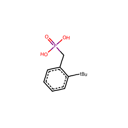 CC(C)(C)c1ccccc1CP(=O)(O)O